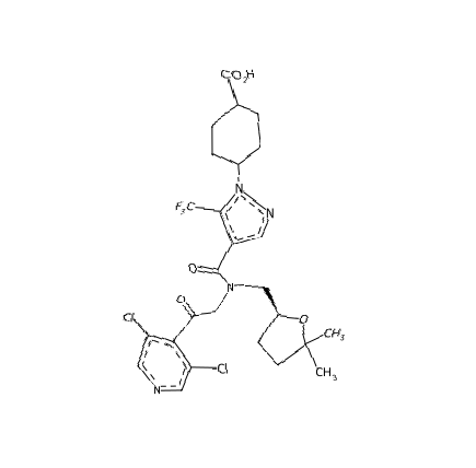 CC1(C)CC[C@@H](CN(CC(=O)c2c(Cl)cncc2Cl)C(=O)c2cnn(C3CCC(C(=O)O)CC3)c2C(F)(F)F)O1